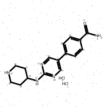 Cl.Cl.NC(=O)c1ccc(-c2cnc(NC3CCNCC3)nc2)cc1